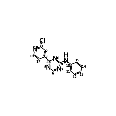 Clc1cc(-c2ncnc(Nc3ccccc3)n2)ccn1